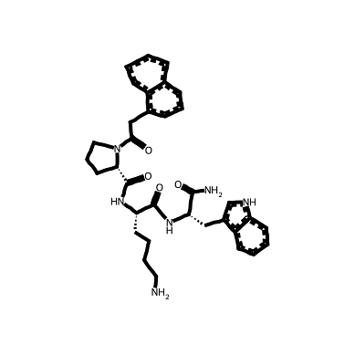 NCCCC[C@H](NC(=O)[C@@H]1CCCN1C(=O)Cc1cccc2ccccc12)C(=O)N[C@@H](Cc1c[nH]c2ccccc12)C(N)=O